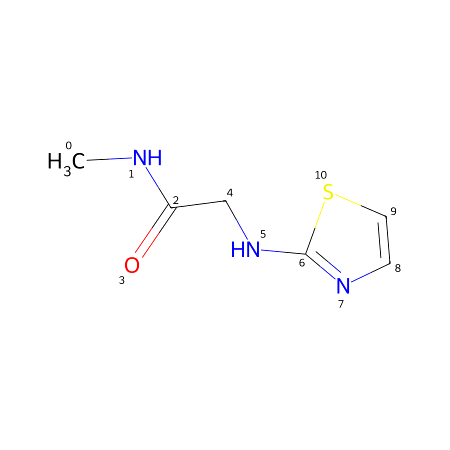 CNC(=O)CNc1nccs1